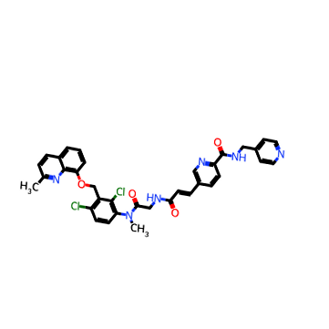 Cc1ccc2cccc(OCc3c(Cl)ccc(N(C)C(=O)CNC(=O)C=Cc4ccc(C(=O)NCc5ccncc5)nc4)c3Cl)c2n1